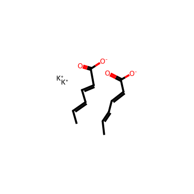 CC=CC=CC(=O)[O-].CC=CC=CC(=O)[O-].[K+].[K+]